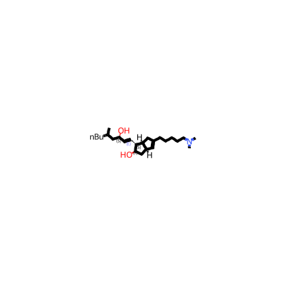 CCCCC(C)C[C@H](O)/C=C/[C@@H]1[C@H]2CC(CCCCCN(C)C)=C[C@H]2C[C@H]1O